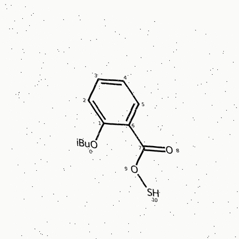 CC(C)COc1ccccc1C(=O)OS